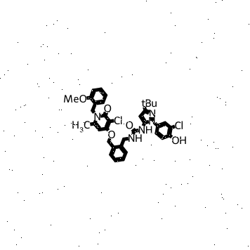 COc1ccccc1Cn1c(C)cc(OCc2ccccc2CNC(=O)Nc2cc(C(C)(C)C)nn2-c2ccc(O)c(Cl)c2)c(Cl)c1=O